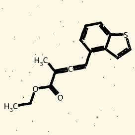 CCOC(=O)C(C)=C=Cc1cccc2sccc12